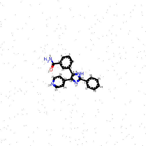 NC(=O)c1cccc(-c2[nH]c(-c3ccccc3)nc2-c2ccncc2)c1